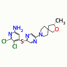 C[C@H]1CC2(CCN(c3cnc(Sc4cc(N)nc(Cl)c4Cl)cn3)CC2)CO1